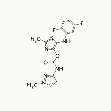 Cc1nc(OC(=O)Nc2ccn(C)n2)c(Nc2cc(F)ccc2F)s1